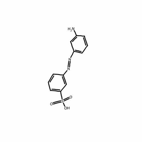 Nc1cccc(/N=N/c2cccc(S(=O)(=O)O)c2)c1